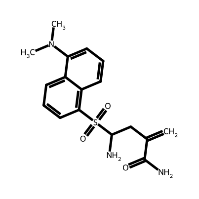 C=C(CC(N)S(=O)(=O)c1cccc2c(N(C)C)cccc12)C(N)=O